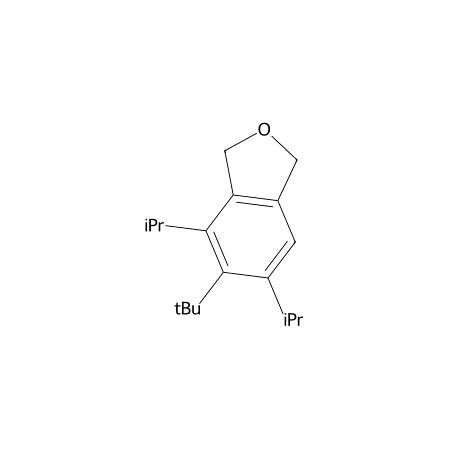 CC(C)c1cc2c(c(C(C)C)c1C(C)(C)C)COC2